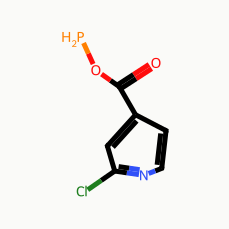 O=C(OP)c1ccnc(Cl)c1